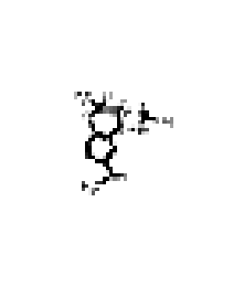 CC(=O)c1ccc2c(c1)[C@H](NC(=O)O)[C@H](O)C(C)(C)O2